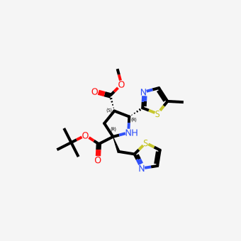 COC(=O)[C@H]1C[C@@](Cc2nccs2)(C(=O)OC(C)(C)C)N[C@H]1c1ncc(C)s1